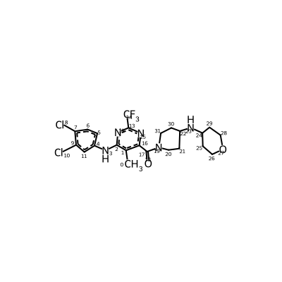 Cc1c(Nc2ccc(Cl)c(Cl)c2)nc(C(F)(F)F)nc1C(=O)N1CCC(NC2CCOCC2)CC1